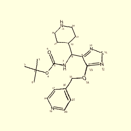 CC(C)(C)OC(=O)NC(c1nsnc1OCc1ccncc1)C1CCNCC1